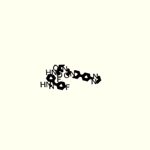 CO[C@@]1(C(=O)Nc2ccc3[nH]nc(-c4ccc(F)cc4F)c3c2)CCN(CC(=O)N2CC=C(c3ccc(-c4ncccn4)cc3)CC2)C1